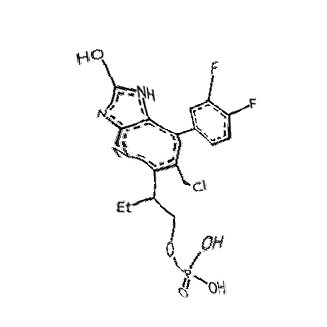 CCC(COP(=O)(O)O)c1nc2nc(O)[nH]c2c(-c2ccc(F)c(F)c2)c1Cl